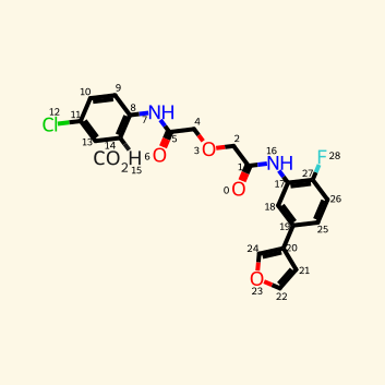 O=C(COCC(=O)Nc1ccc(Cl)cc1C(=O)O)Nc1cc(-c2ccoc2)ccc1F